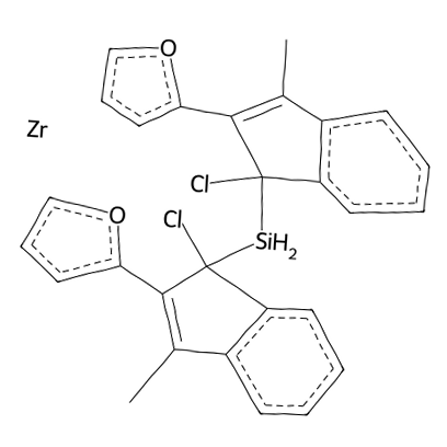 CC1=C(c2ccco2)C(Cl)([SiH2]C2(Cl)C(c3ccco3)=C(C)c3ccccc32)c2ccccc21.[Zr]